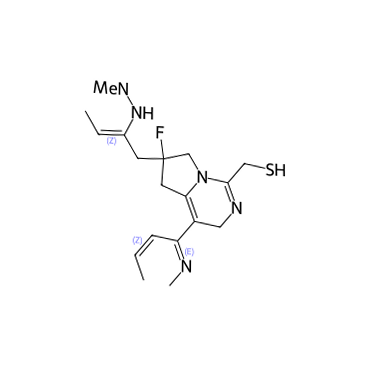 C/C=C\C(=N/C)C1=C2CC(F)(C/C(=C/C)NNC)CN2C(CS)=NC1